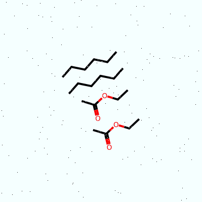 CCCCCC.CCCCCC.CCOC(C)=O.CCOC(C)=O